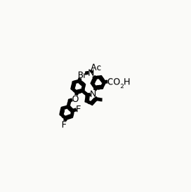 CC(=O)N(C)c1cc(C(=O)O)cc(-n2c(C)ccc2-c2cc(Br)ccc2OCc2ccc(F)cc2F)c1